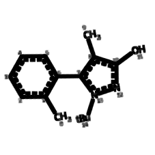 Cc1ccccc1-c1c(C)c(O)nn1C(C)(C)C